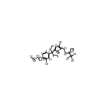 CCC(CC)(c1ccc(OCSC)c(C)c1)c1cc(C)c(CCC(=O)C(C)(C)C)s1